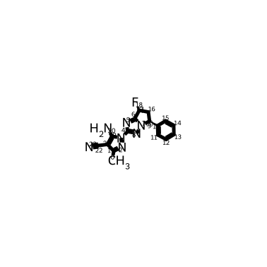 Cc1nn(-c2nc3n(n2)[C@H](c2ccccc2)C[C@@H]3F)c(N)c1C#N